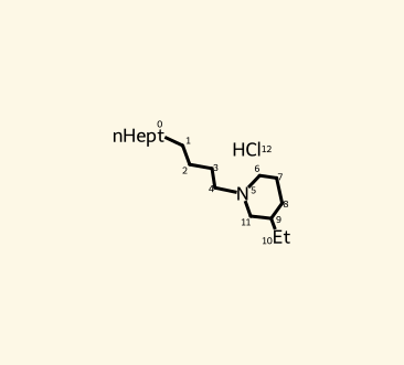 CCCCCCCCCCCN1CCCC(CC)C1.Cl